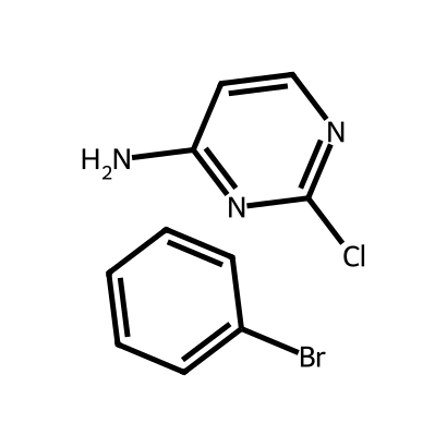 Brc1ccccc1.Nc1ccnc(Cl)n1